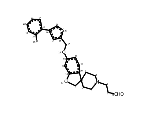 O=CCCN1CCC2(CC1)COc1cc(OCc3cc(-c4ccccc4F)cs3)ccc12